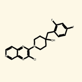 OC1(Cc2ccc(F)cc2F)CCN(c2nc3ccncc3nc2Cl)CC1